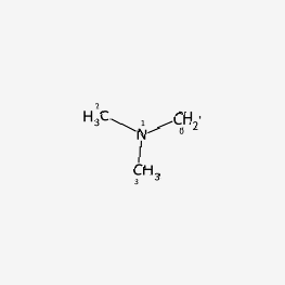 [CH2]N(C)C